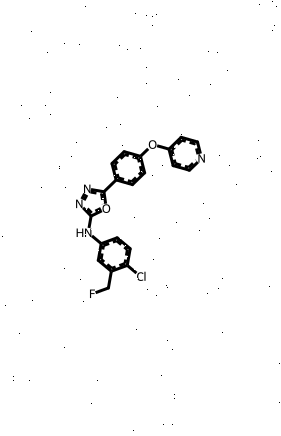 FCc1cc(Nc2nnc(-c3ccc(Oc4ccncc4)cc3)o2)ccc1Cl